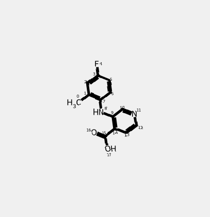 Cc1cc(F)ccc1Nc1cnccc1C(=O)O